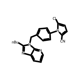 CCCCc1nc2cccnc2n1Cc1ccc(-n2c(Cl)ccc2C#N)cc1